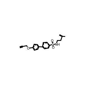 C#CCOc1ccc(-c2ccc(S(=O)(=O)NCCC(=C)C)cc2)cc1